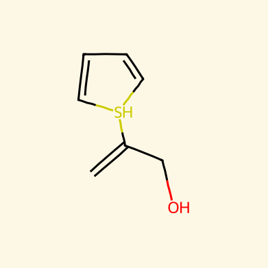 C=C(CO)[SH]1C=CC=C1